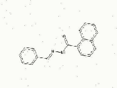 O=C(NN=Cc1ccccc1)c1cccc2ccccc12